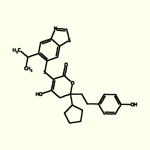 CC(C)c1cc2ncsc2cc1SC1=C(O)CC(CCc2ccc(O)cc2)(C2CCCC2)OC1=O